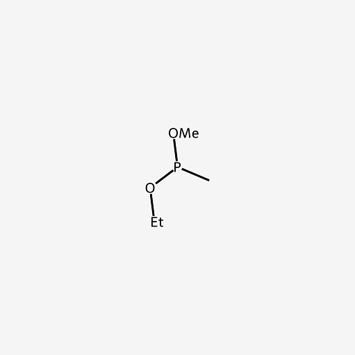 CCOP(C)OC